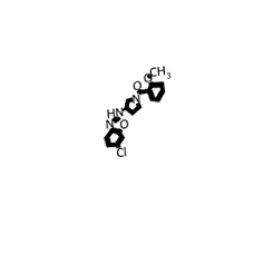 COc1ccccc1C(=O)N1CC[C@@H](Nc2nc3ccc(Cl)cc3o2)C1